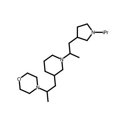 CC(C)N1CCC(CC(C)N2CCCC(CC(C)N3CCOCC3)C2)C1